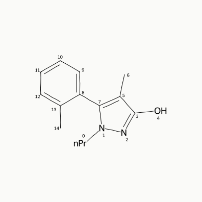 CCCn1nc(O)c(C)c1-c1ccccc1C